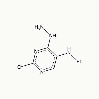 CCNc1cnc(Cl)nc1NN